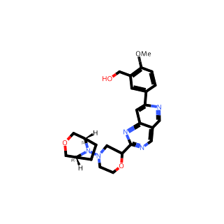 COc1ccc(-c2cc3nc(C4CN(N5[C@@H]6CC[C@H]5COC6)CCO4)ncc3cn2)cc1CO